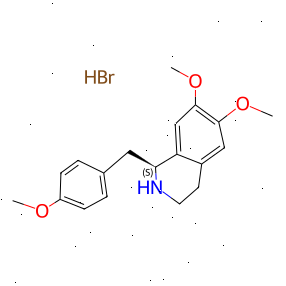 Br.COc1ccc(C[C@@H]2NCCc3cc(OC)c(OC)cc32)cc1